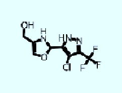 OCC1=COC(c2[nH]nc(C(F)(F)F)c2Cl)N1